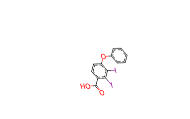 O=C(O)c1ccc(Oc2ccccc2)c(I)c1I